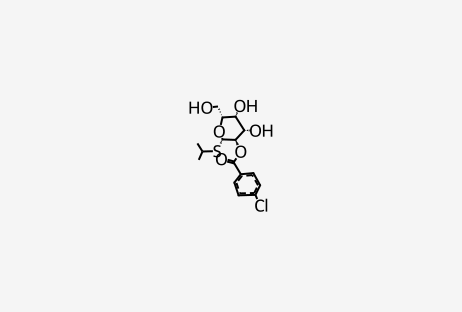 CC(C)S[C@@H]1O[C@H](CO)[C@H](O)[C@H](O)[C@H]1OC(=O)c1ccc(Cl)cc1